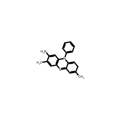 CC1=CC2=Nc3cc(C)c(N)cc3N(c3ccccc3)C2=C[C]1